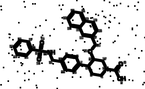 O=C(O)N1CCC(c2ccc(CNS(=O)(=O)c3ccccc3)cc2)C(OCc2ccc3ccccc3c2)C1